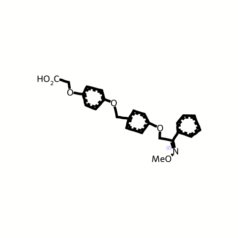 CO/N=C(\COc1ccc(COc2ccc(OCC(=O)O)cc2)cc1)c1ccccc1